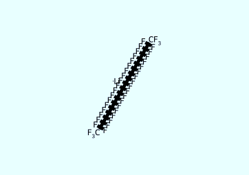 FC(F)(F)C(F)(F)C(F)(F)C(F)(F)C(F)(F)C(F)(F)C(F)(F)C(F)(F)C(F)(F)C(F)(F)C(F)(F)C(F)(F)C(F)(F)C(F)(F)C(F)(F)C(F)(F)C(F)(F)C(F)(F)C(F)(F)C(F)(F)F.[Li]